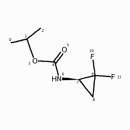 CC(C)OC(=O)N[C@@H]1CC1(F)F